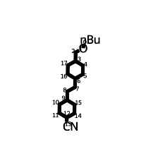 CCCCOCC1CCC(CCC2CCC(C#N)CC2)CC1